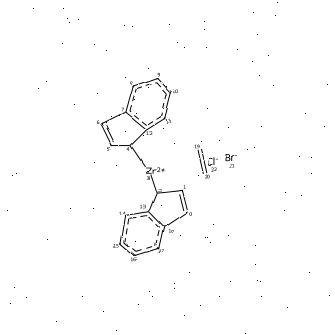 C1=C[CH]([Zr+2][CH]2C=Cc3ccccc32)c2ccccc21.C=C.[Br-].[Cl-]